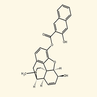 CN1CC[C@]23c4c5ccc(OC(=O)c6cc7ccccc7cc6O)c4O[C@H]2[C@@H](O)C=C[C@H]3[C@H]1C5